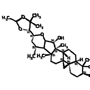 CC1O[C@@H]([C@H]2C[C@@H](C)C3C(O2)[C@H](O)[C@@]2(C)[C@@H]4CC[C@H]5C(C)(C)[C@@H](O)CC[C@@]56C[C@@]46CC[C@]32C)C(C)(C)O1